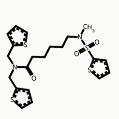 CN(CCCCCC(=O)N(Cc1cccs1)Cc1cccs1)S(=O)(=O)c1cccs1